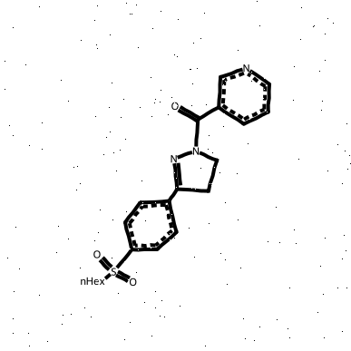 CCCCCCS(=O)(=O)c1ccc(C2=NN(C(=O)c3cccnc3)CC2)cc1